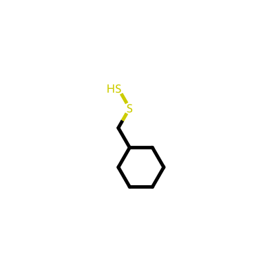 SSCC1CCCCC1